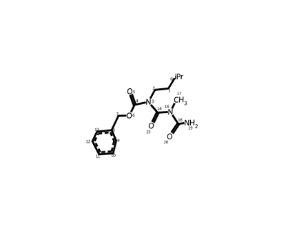 CC(C)CCN(C(=O)OCc1ccccc1)C(=O)N(C)C(N)=O